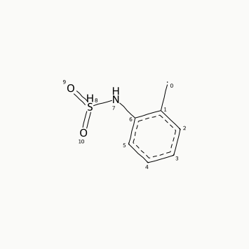 [CH2]c1ccccc1N[SH](=O)=O